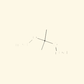 CCCCCCCCOC(C)(C)OCCCCCCCC